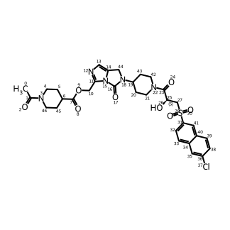 CC(=O)N1CCC(C(=O)OCc2ncc3n2C(=O)N(C2CCN(C(=O)[C@H](O)CS(=O)(=O)c4ccc5cc(Cl)ccc5c4)CC2)C3)CC1